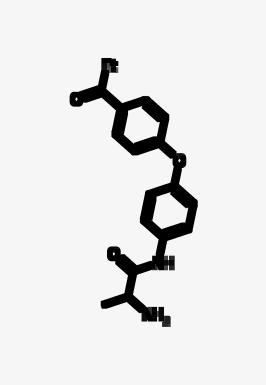 CCC(=O)c1ccc(Oc2ccc(NC(=O)C(C)N)cc2)cc1